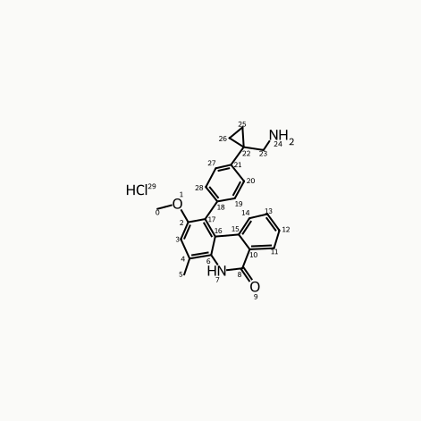 COc1cc(C)c2[nH]c(=O)c3ccccc3c2c1-c1ccc(C2(CN)CC2)cc1.Cl